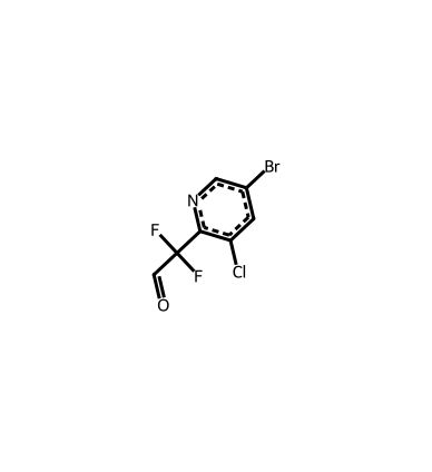 O=CC(F)(F)c1ncc(Br)cc1Cl